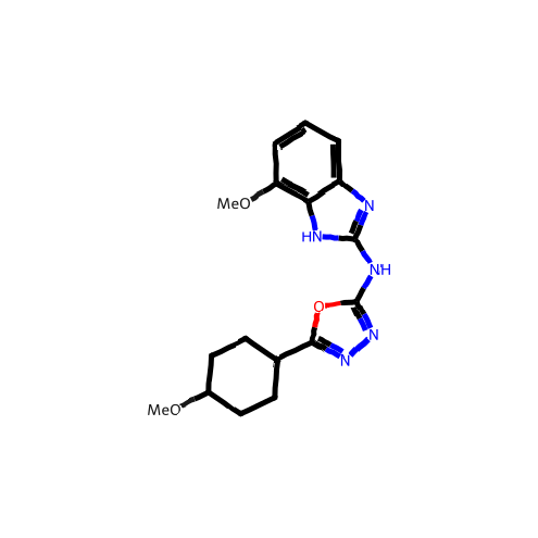 COc1cccc2nc(Nc3nnc(C4CCC(OC)CC4)o3)[nH]c12